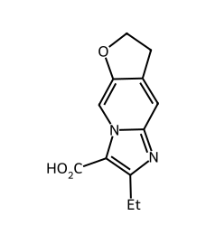 CCc1nc2cc3c(cn2c1C(=O)O)OCC3